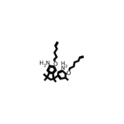 C=CCCCCOc1cc2c(cc1N)C(C)(C)CC2(C)C1=CC(C)C(OCCCCC=C)C(N)=C1